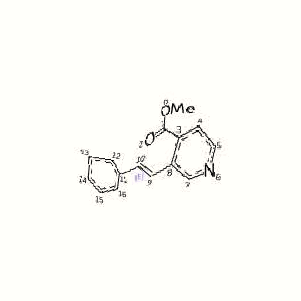 COC(=O)c1ccncc1/C=C/c1ccccc1